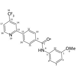 COc1cccc(NC(=O)c2ccc(-c3cc(C(F)(F)F)ccn3)cc2)c1